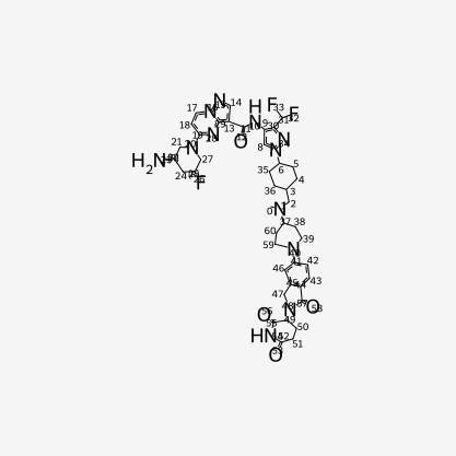 CN(CC1CCC(n2cc(NC(=O)c3cnn4ccc(N5C[C@H](N)C[C@@H](F)C5)nc34)c(C(F)F)n2)CC1)C1CCN(c2ccc3c(c2)CN(C2CCC(=O)NC2=O)C3=O)CC1